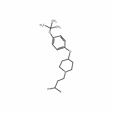 CC(C)(C)Oc1ccc(OC2CCN(CCC(F)F)CC2)cc1